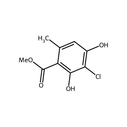 COC(=O)c1c(C)cc(O)c(Cl)c1O